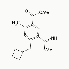 COC(=O)c1cc(C(=N)SC)c(CC2CCC2)cc1C